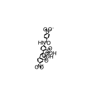 O=C(Nc1ccc(/C=C/c2ccc([N+](=O)[O-])cc2S(=O)(=O)O)c(S(=O)(=O)O)c1)c1ccc([N+](=O)[O-])cc1